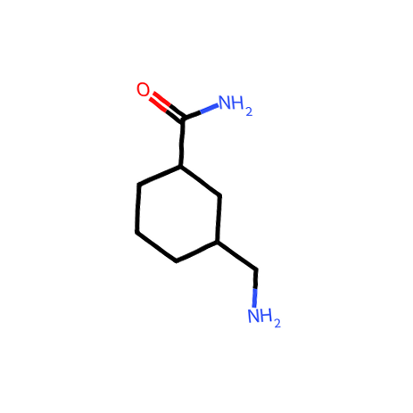 NCC1CCCC(C(N)=O)C1